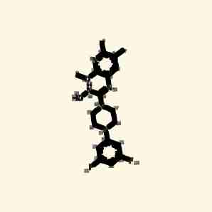 COc1nc(C)c(C)cc1N=C(NO)N1CCN(c2cc(F)cc(F)c2)CC1